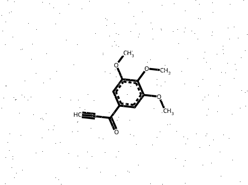 C#CC(=O)c1cc(OC)c(OC)c(OC)c1